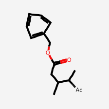 CC(=O)C(C)C(C)CC(=O)OCc1ccccc1